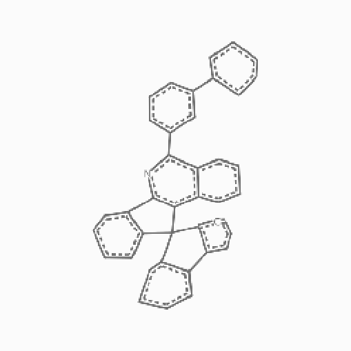 c1ccc(-c2cccc(-c3nc4c(c5ccccc35)C3(c5ccccc5-c5ccccc53)c3ccccc3-4)c2)cc1